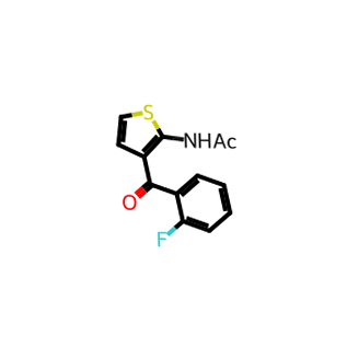 CC(=O)Nc1sccc1C(=O)c1ccccc1F